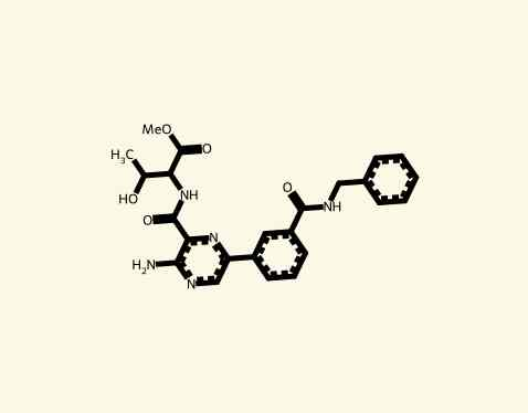 COC(=O)C(NC(=O)c1nc(-c2cccc(C(=O)NCc3ccccc3)c2)cnc1N)C(C)O